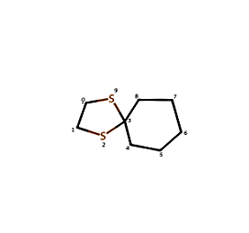 [CH]1CSC2(CCCCC2)S1